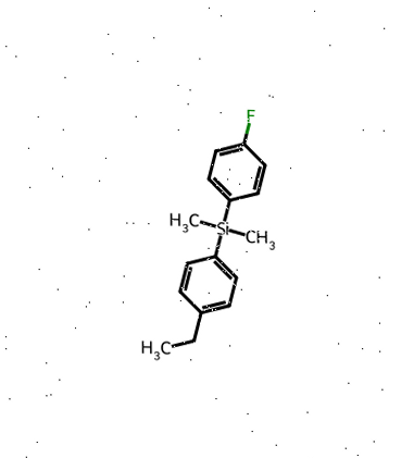 CCc1ccc([Si](C)(C)c2ccc(F)cc2)cc1